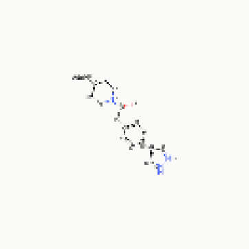 CNC1CCN(C(=O)Cc2ccc(-c3cn[nH]c3)cc2)CC1